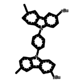 CCCCc1ccc2c(c1)c1cc(C)ccc1n2-c1ccc(-n2c3ccc(C)cc3c3cc(CCCC)ccc32)cc1